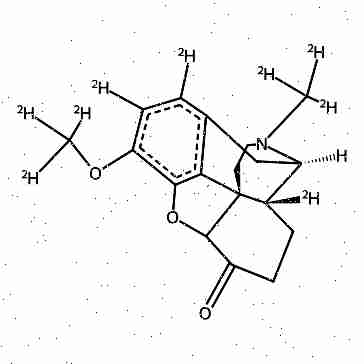 [2H]c1c([2H])c(OC([2H])([2H])[2H])c2c3c1C[C@H]1N(C([2H])([2H])[2H])CC[C@@]34C(O2)C(=O)CC[C@@]14[2H]